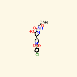 COC(=O)CNC(=O)c1ncc(C2CCN(S(=O)(=O)c3ccc(Cl)cc3)CC2)cc1O